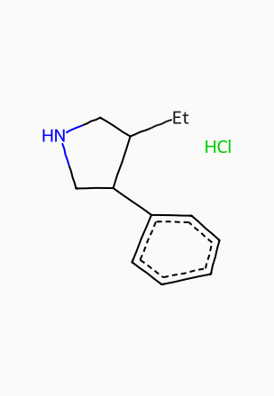 CCC1CNCC1c1ccccc1.Cl